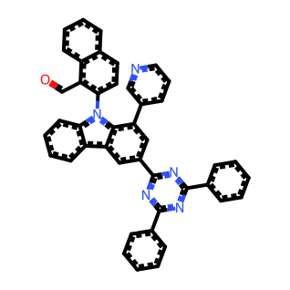 O=Cc1c(-n2c3ccccc3c3cc(-c4nc(-c5ccccc5)nc(-c5ccccc5)n4)cc(-c4cccnc4)c32)ccc2ccccc12